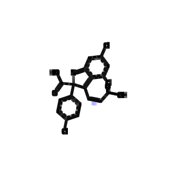 O=C(O)/C=C\C1=c2c(Cl)cc(Cl)cc2=NC1(C(=O)O)c1ccc(Cl)cc1